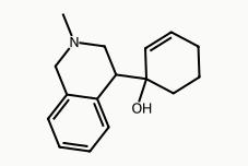 CN1Cc2ccccc2C(C2(O)C=CCCC2)C1